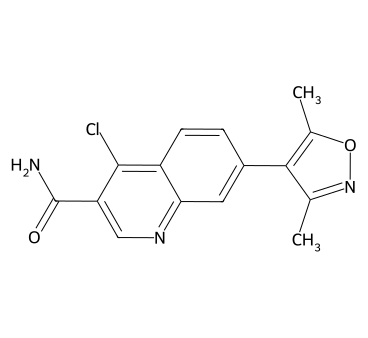 Cc1noc(C)c1-c1ccc2c(Cl)c(C(N)=O)cnc2c1